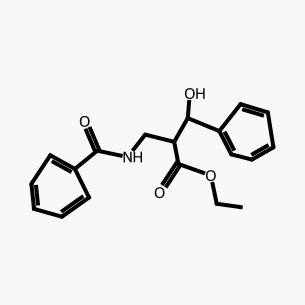 CCOC(=O)C(CNC(=O)c1ccccc1)C(O)c1ccccc1